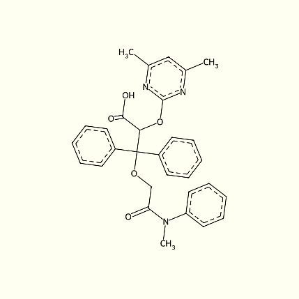 Cc1cc(C)nc(OC(C(=O)O)C(OCC(=O)N(C)c2ccccc2)(c2ccccc2)c2ccccc2)n1